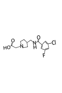 O=C(O)CN1CCC(CNC(=O)c2cc(F)cc(Cl)c2)CC1